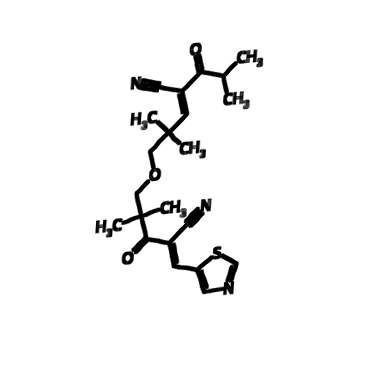 CC(C)C(=O)/C(C#N)=C/C(C)(C)COCC(C)(C)C(=O)/C(C#N)=C/c1cncs1